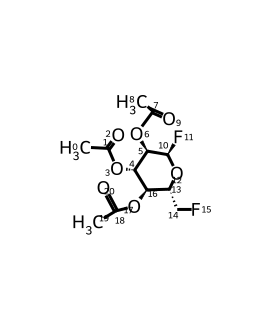 CC(=O)O[C@@H]1[C@@H](OC(C)=O)[C@@H](F)O[C@H](CF)[C@H]1OC(C)=O